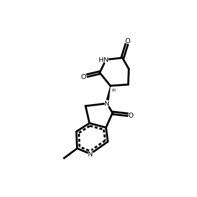 Cc1cc2c(cn1)C(=O)N([C@@H]1CCC(=O)NC1=O)C2